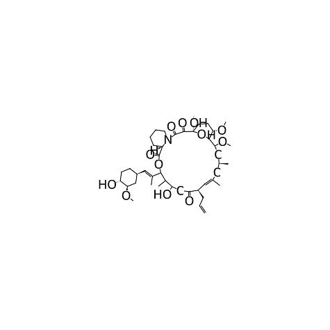 C=CC[C@@H]1/C=C(\C)C[C@H](C)CC(OC)[C@H]2O[C@@](O)(C(=O)C(=O)N3CCCC[C@H]3C(=O)OC(/C(C)=C/[C@@H]3CC[C@@H](O)[C@H](OC)C3)C(C)C(O)CC1=O)[C@H](C)C[C@@H]2OC